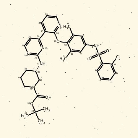 Cc1cc(NS(=O)(=O)c2ccccc2Cl)cc(C)c1Oc1ncccc1-c1ccnc(N[C@H]2CCCN(C(=O)OC(C)(C)C)C2)n1